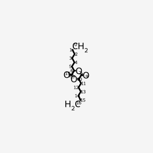 C=CCCCCC1OC(=O)C(CCCCC=C)OC1=O